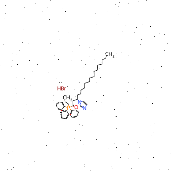 Br.CCCCCCCCCCCCCCCC(CC(=O)P(CCC)(c1ccccc1)(c1ccccc1)c1ccccc1)n1ccnc1